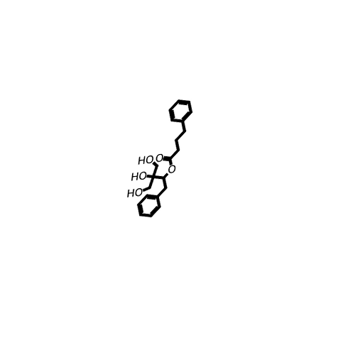 O=C(CCCc1ccccc1)OC(Cc1ccccc1)C(O)(CO)CO